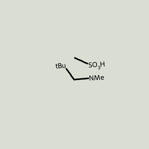 CNCC(C)(C)C.CS(=O)(=O)O